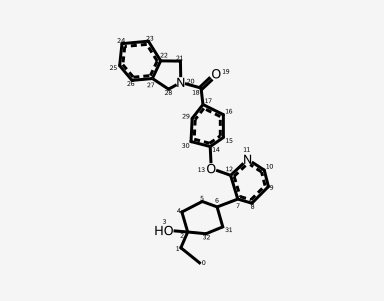 CCC1(O)CCC(c2cccnc2Oc2ccc(C(=O)N3Cc4ccccc4C3)cc2)CC1